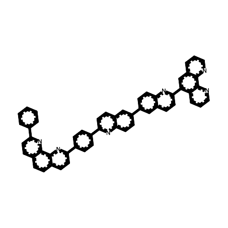 c1ccc(-c2ccc3ccc4ccc(-c5ccc(-c6ccc7cc(-c8ccc9nc(-c%10cc%11cccnc%11c%11ncccc%10%11)ccc9c8)ccc7n6)cc5)nc4c3n2)cc1